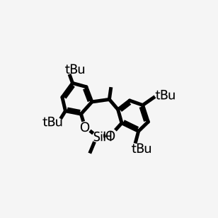 CC1c2cc(C(C)(C)C)cc(C(C)(C)C)c2O[SiH](C)Oc2c1cc(C(C)(C)C)cc2C(C)(C)C